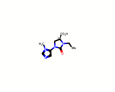 Cn1cncc1N1C[C@@H](C(=O)O)N(CC(C)(C)C)C1=O